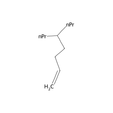 C=CCCC(CCC)CCC